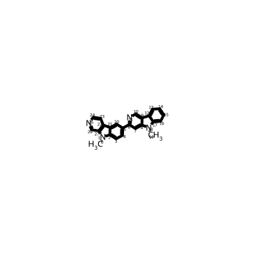 Cn1c2ccc(-c3cc4c(cn3)c3ccccc3n4C)cc2c2ccncc21